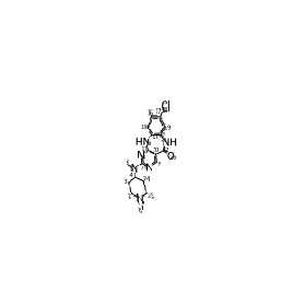 CN1CCC(N(C)c2ncc3c(n2)Nc2ccc(Cl)cc2NC3=O)CC1